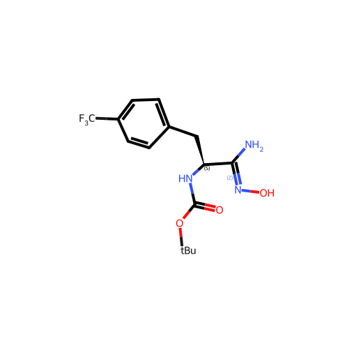 CC(C)(C)OC(=O)N[C@@H](Cc1ccc(C(F)(F)F)cc1)/C(N)=N/O